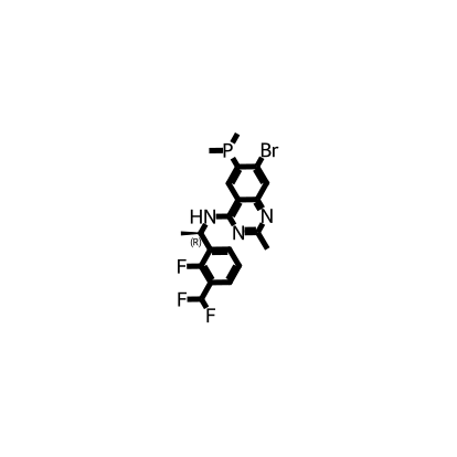 Cc1nc(N[C@H](C)c2cccc(C(F)F)c2F)c2cc(P(C)C)c(Br)cc2n1